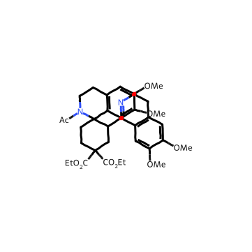 CCOC(=O)C1(C(=O)OCC)CCC2(c3cc(OC)c(OC)cc3CCN2C(C)=O)C(C2=NCCc3cc(OC)c(OC)cc32)C1